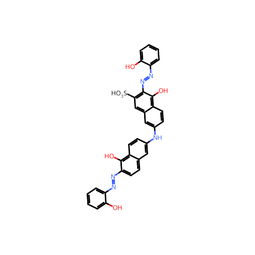 O=S(=O)(O)c1cc2cc(Nc3ccc4c(O)c(N=Nc5ccccc5O)ccc4c3)ccc2c(O)c1N=Nc1ccccc1O